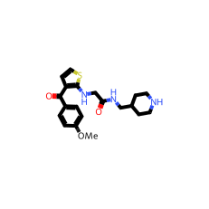 COc1ccc(C(=O)c2ccsc2NCC(=O)NCC2CCNCC2)cc1